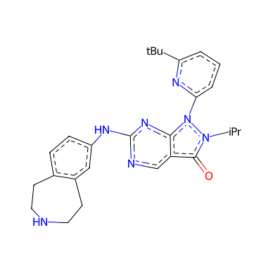 CC(C)n1c(=O)c2cnc(Nc3ccc4c(c3)CCNCC4)nc2n1-c1cccc(C(C)(C)C)n1